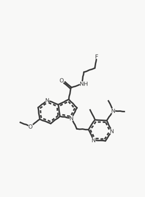 COc1cnc2c(C(=O)NCCF)cn(Cc3ncnc(N(C)C)c3C)c2c1